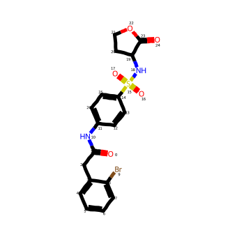 O=C(Cc1ccccc1Br)Nc1ccc(S(=O)(=O)NC2CCOC2=O)cc1